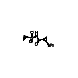 CCC[C@@H]1C[C@@H]1C(=O)NS(=O)(=O)C1CC1